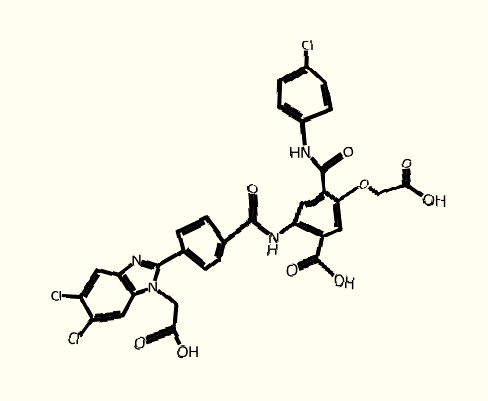 O=C(O)COc1cc(C(=O)O)c(NC(=O)c2ccc(-c3nc4cc(Cl)c(Cl)cc4n3CC(=O)O)cc2)cc1C(=O)Nc1ccc(Cl)cc1